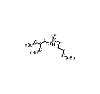 CCCCOCCO[PH](=O)OCC(OCCCC)OCCCC